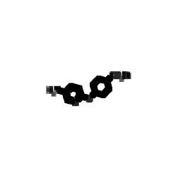 CCOC(=O)C1CCC(Oc2ccc(N)cn2)CC1